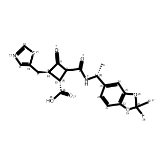 C[C@@H](NC(=O)C1C(=O)[C@H](Cc2cncs2)[C@H]1C(=O)O)c1ccc2c(c1)OC(F)(F)O2